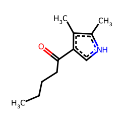 CCCCC(=O)c1c[nH]c(C)c1C